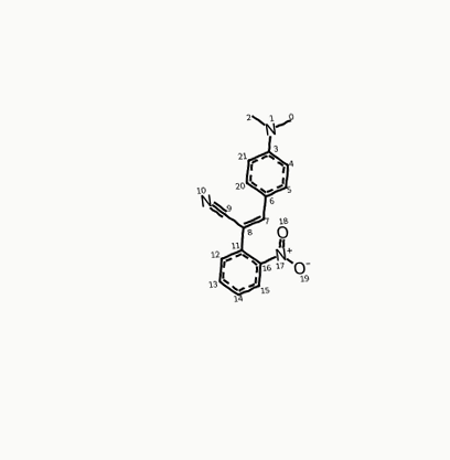 CN(C)c1ccc(C=C(C#N)c2ccccc2[N+](=O)[O-])cc1